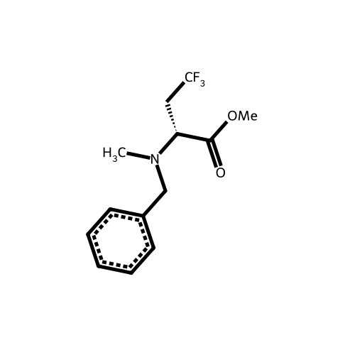 COC(=O)[C@@H](CC(F)(F)F)N(C)Cc1ccccc1